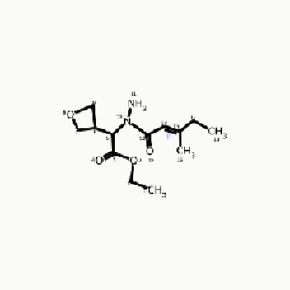 CCOC(=O)C(C1COC1)N(N)C(=O)/C=C(\C)CC